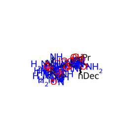 CCCCCCCCCCCCCCCC(=O)N[C@@H](CCCCN)C(=O)N[C@@H](CC(C)C)C(=O)N[C@@H](CO)C(=O)N[C@@H](Cc1cnc[nH]1)C(=O)N[C@@H](CO)C(=O)N[C@@H](CCCCN)C(=O)NCC(=O)N[C@@H](Cc1cnc[nH]1)C(=O)N[C@@H](CCC(N)=O)C(=O)N[C@@H](CCCCN)C(=O)N[C@@H](CCCNC(=N)N)C(=O)N[C@@H](CCCCN)C(=O)N[C@@H](C)C(N)=O